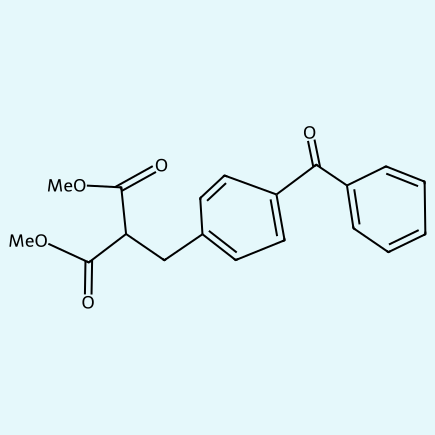 COC(=O)C(Cc1ccc(C(=O)c2ccccc2)cc1)C(=O)OC